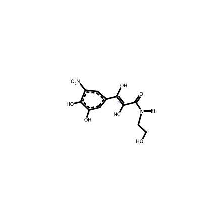 CCN(CCO)C(=O)/C(C#N)=C(\O)c1cc(O)c(O)c([N+](=O)[O-])c1